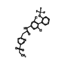 CCS(=O)(=O)c1ccc(CC(=O)Nc2cc(Cl)c(-c3ccccc3OC(F)(F)F)c(Cl)c2)nc1